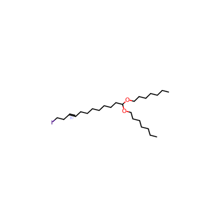 CCCCCCCOC(CCCCCCC/C=C/CCI)OCCCCCCC